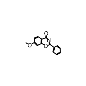 COc1ccc2c(=O)nc(-c3ccccc3)oc2c1